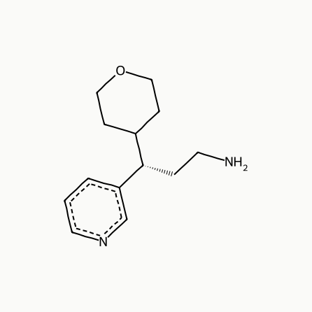 NCC[C@H](c1cccnc1)C1CCOCC1